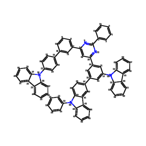 c1ccc(-c2nc(-c3cccc(-c4ccc(-n5c6ccccc6c6ccccc65)cc4)c3)cc(-c3cc(-c4ccc5c(c4)c4ccccc4n5-c4ccccc4)cc(-n4c5ccccc5c5ccccc54)c3)n2)cc1